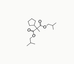 CC(C)COC(=O)C(C)(C(=O)OCC(C)C)C1CCCC1